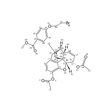 CC(=O)Oc1ccc2c3c1O[C@H]1[C@@H](OC(C)=O)C=C[C@H]4[C@@H](C2)N(C)CC[C@@]341.COC(=O)c1ccc(OCCBr)cc1